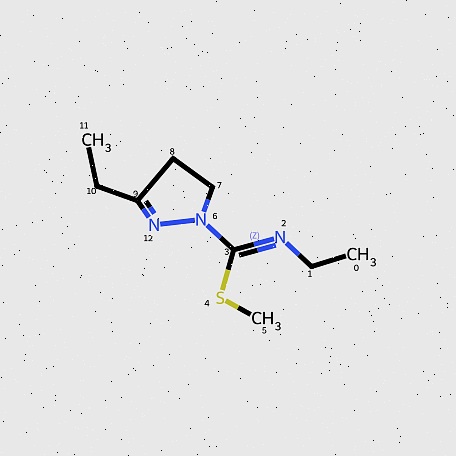 CC/N=C(\SC)N1CCC(CC)=N1